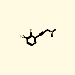 CN(C)CC#Cc1cccc(O)c1F